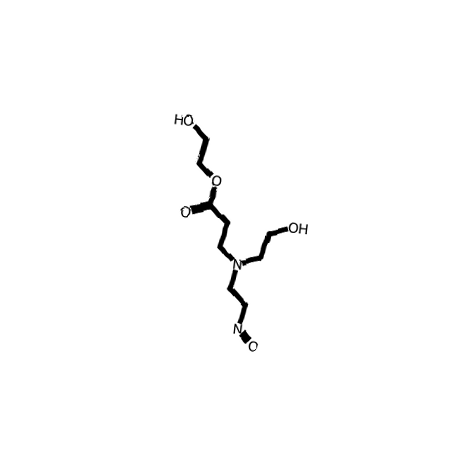 O=NCCN(CCO)CCC(=O)OCCO